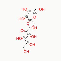 O=C(CO[C@]1(CO)O[C@H](CO)[C@@H](O)[C@@H]1O)[C@@H](O)[C@H](O)[C@H](O)CO